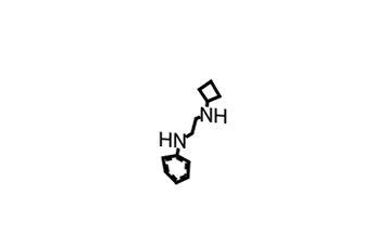 c1ccc(NCCNC2CCC2)cc1